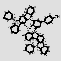 N#Cc1ccc(-c2cc(-n3c4ccccc4c4cc5c(cc43)c3ccccc3n5-c3ccccc3)c(C#N)c(-n3c4ccccc4c4c5c(ccc43)C3CC=CC=C3N5c3ccccc3)c2)cc1